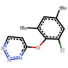 CC(C)(C)c1cc(Cl)c(Oc2ccnnn2)c(C(C)(C)C)c1